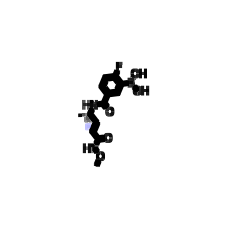 CONC(=O)/C=C/[C@H](C)NC(=O)c1ccc(F)c(B(O)O)c1